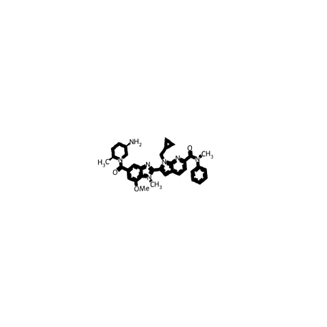 COc1cc(C(=O)N2C[C@H](N)CC[C@@H]2C)cc2nc(-c3cc4ccc(C(=O)N(C)c5ccccc5)nc4n3CC3CC3)n(C)c12